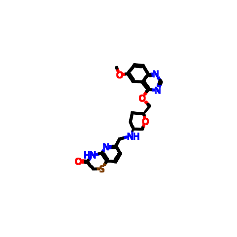 COc1ccc2ncnc(OC[C@@H]3CC[C@@H](NCc4ccc5c(n4)NC(=O)CS5)CO3)c2c1